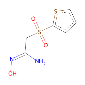 N/C(CS(=O)(=O)c1cccs1)=N\O